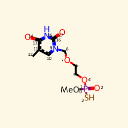 COP(=O)(S)OCCOCn1cc(C)c(=O)[nH]c1=O